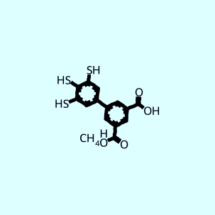 C.O=C(O)c1cc(C(=O)O)cc(-c2cc(S)c(S)c(S)c2)c1